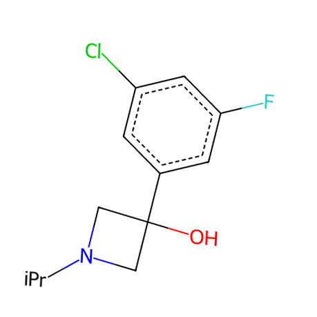 CC(C)N1CC(O)(c2cc(F)cc(Cl)c2)C1